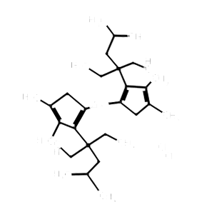 CCC(CC)(CC(C)C)C1=[C]([Zr+2][C]2=C(C(CC)(CC)CC(C)C)C(C)=C(C)C2)CC(C)=C1C.[Cl-].[Cl-]